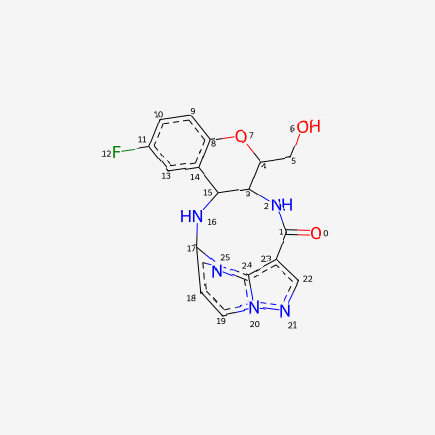 O=C1NC2C(CO)Oc3ccc(F)cc3C2Nc2ccn3ncc1c3n2